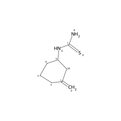 C=C1CCCC(NC(N)=S)C1